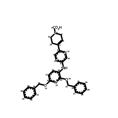 O=C(O)N1CC=C(c2cnc(Nc3ccc(OCc4ccccc4)nc3OCc3ccccc3)cn2)CC1